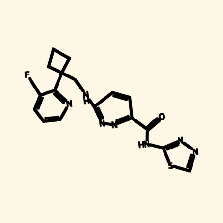 O=C(Nc1nncs1)c1ccc(NCC2(c3ncccc3F)CCC2)nn1